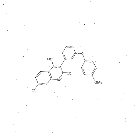 COc1ccc(Oc2cccc(-c3c(O)c4ccc(Cl)cc4[nH]c3=O)c2)cc1